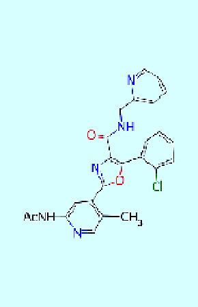 CC(=O)Nc1cc(-c2nc(C(=O)NCc3ccccn3)c(-c3ccccc3Cl)o2)c(C)cn1